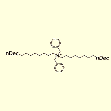 CCCCCCCCCCCCCCCCCC[N+](CCCCCCCCCCCCCCCCCC)(Cc1ccccc1)Cc1ccccc1